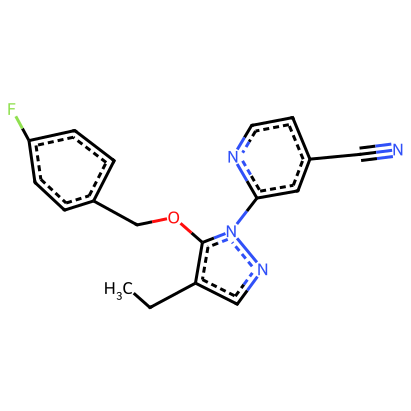 CCc1cnn(-c2cc(C#N)ccn2)c1OCc1ccc(F)cc1